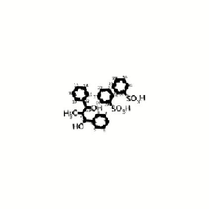 CC(C(O)c1ccccc1)C(O)c1ccccc1.O=S(=O)(O)c1ccccc1.O=S(=O)(O)c1ccccc1